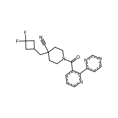 N#CC1(CC2CC(F)(F)C2)CCN(C(=O)c2cccnc2-c2ccncn2)CC1